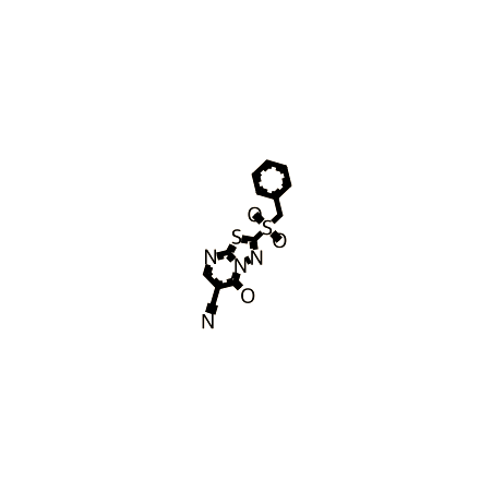 N#Cc1cnc2sc(S(=O)(=O)Cc3ccccc3)nn2c1=O